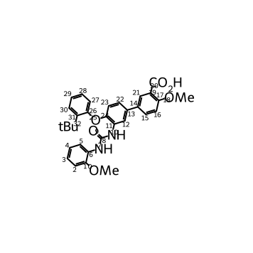 COc1ccccc1NC(=O)Nc1cc(-c2ccc(OC)c(C(=O)O)c2)ccc1Oc1ccccc1C(C)(C)C